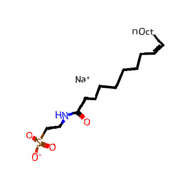 CCCCCCCC/C=C\CCCCCCCC(=O)NCCS(=O)(=O)[O-].[Na+]